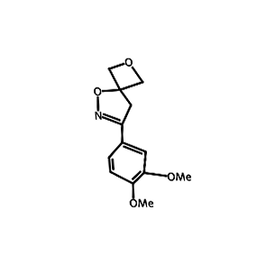 COc1ccc(C2=NOC3(COC3)C2)cc1OC